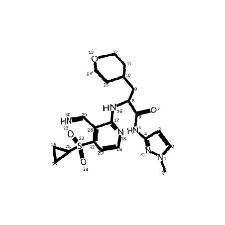 Cn1ccc(NC(=O)C(CC2CCOCC2)Nc2nccc(S(=O)(=O)C3CC3)c2C=N)n1